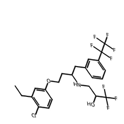 CCc1cc(OCCC(Cc2cccc(C(F)(F)C(F)(F)F)c2)NCC(O)C(F)(F)F)ccc1Cl